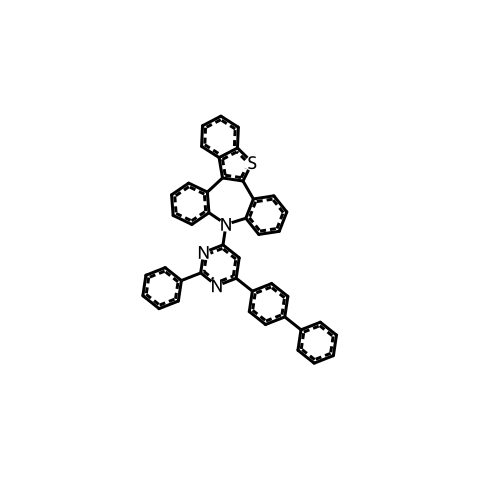 c1ccc(-c2ccc(-c3cc(N4c5ccccc5-c5sc6ccccc6c5-c5ccccc54)nc(-c4ccccc4)n3)cc2)cc1